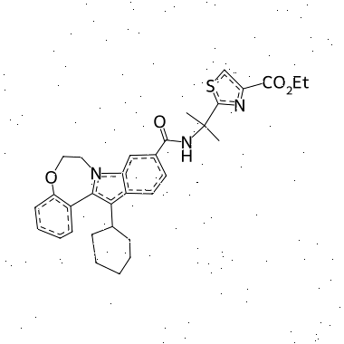 CCOC(=O)c1csc(C(C)(C)NC(=O)c2ccc3c(C4CCCCC4)c4n(c3c2)CCOc2ccccc2-4)n1